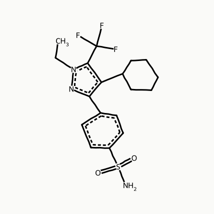 CCn1nc(-c2ccc(S(N)(=O)=O)cc2)c(C2CCCCC2)c1C(F)(F)F